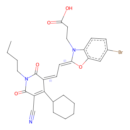 CCCCN1C(=O)C(C#N)=C(C2CCCCC2)/C(=C/C=C2\Oc3cc(Br)ccc3N2CCC(=O)O)C1=O